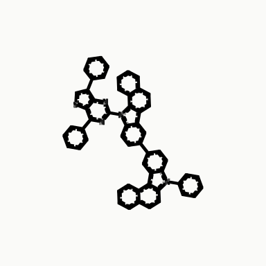 c1ccc(-c2csc3c(-c4ccccc4)nc(-n4c5ccc(-c6ccc7c(c6)c6c8ccccc8ccc6n7-c6ccccc6)cc5c5ccc6ccccc6c54)nc23)cc1